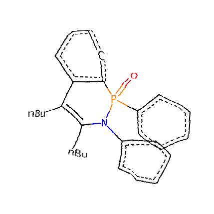 CCCCC1=C(CCCC)N(c2ccccc2)P(=O)(c2ccccc2)c2ccccc21